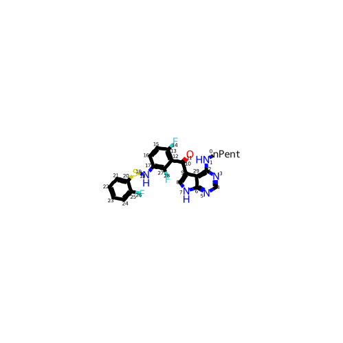 CCCCCNc1ncnc2[nH]cc(C(=O)c3c(F)ccc(NSc4ccccc4F)c3F)c12